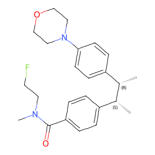 C[C@H](c1ccc(C(=O)N(C)CCF)cc1)[C@@H](C)c1ccc(N2CCOCC2)cc1